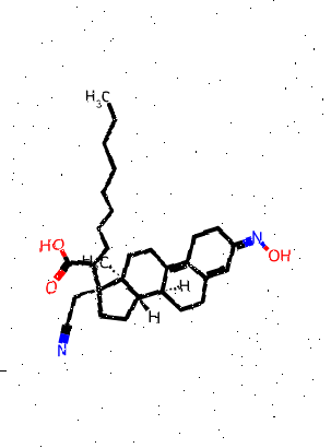 CCCCCCCCC(C(=O)O)[C@@]1(CC#N)CC[C@H]2[C@@H]3CCC4=C/C(=N\O)CCC4=C3CC[C@@]21C